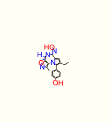 CCc1cc(/C(N)=N/O)n(-c2c(C)noc2C)c1-c1ccc(O)cc1